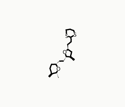 C=C1C[C@H](CCC2SCCCS2)O[C@H]1CC[C@H]1CCC(=C)[C@@H](C)O1